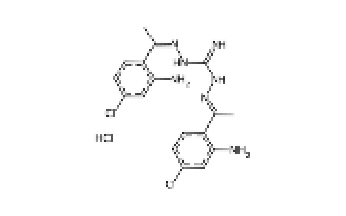 CC(=NNC(=N)NN=C(C)c1ccc(Cl)cc1N)c1ccc(Cl)cc1N.Cl